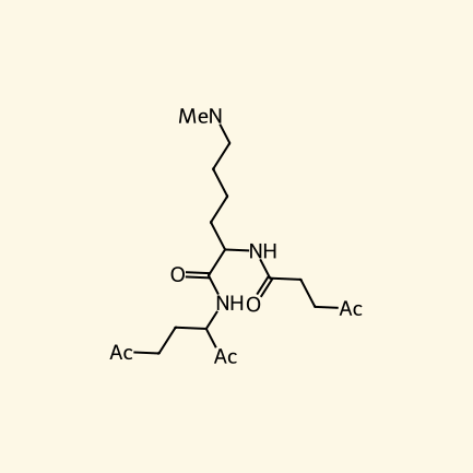 CNCCCCC(NC(=O)CCC(C)=O)C(=O)NC(CCC(C)=O)C(C)=O